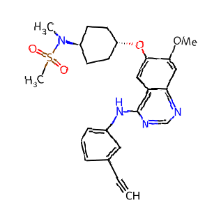 C#Cc1cccc(Nc2ncnc3cc(OC)c(O[C@H]4CC[C@H](N(C)S(C)(=O)=O)CC4)cc23)c1